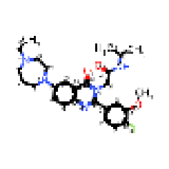 CCN1CCCN(c2ccc3nc(-c4ccc(F)c(OC)c4)n(CC(=O)NC(C)C)c(=O)c3c2)CC1